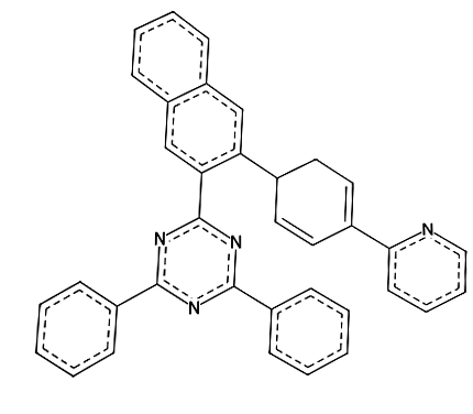 C1=CC(c2cc3ccccc3cc2-c2nc(-c3ccccc3)nc(-c3ccccc3)n2)CC=C1c1ccccn1